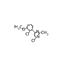 COc1cccc(-c2cc(Cl)nc(C)n2)c1Cl